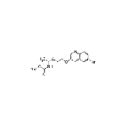 CC(NC(=O)OC(C)(C)C)OCCOc1cnc2ccc(Br)cc2c1